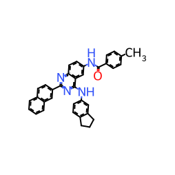 Cc1ccc(C(=O)Nc2ccc3nc(-c4ccc5ccccc5c4)nc(Nc4ccc5c(c4)CCC5)c3c2)cc1